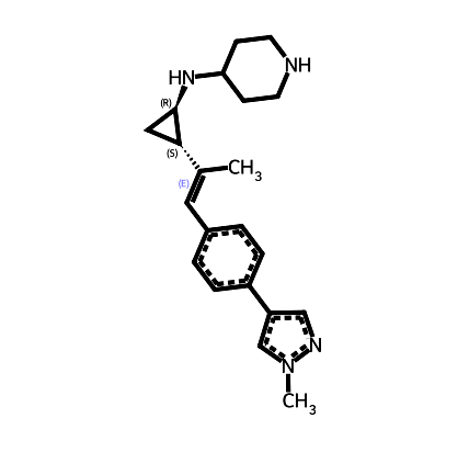 C/C(=C\c1ccc(-c2cnn(C)c2)cc1)[C@@H]1C[C@H]1NC1CCNCC1